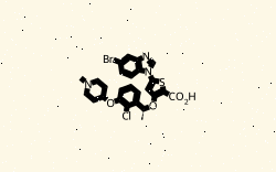 C[C@@H](Oc1cc(-n2cnc3cc(Br)ccc32)sc1C(=O)O)c1cccc(OC2CCN(C)CC2)c1Cl